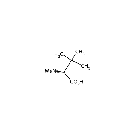 CN[C@H](C(=O)O)C(C)(C)C